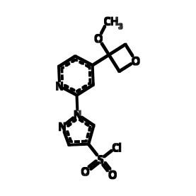 COC1(c2ccnc(-n3cc(S(=O)(=O)Cl)cn3)c2)COC1